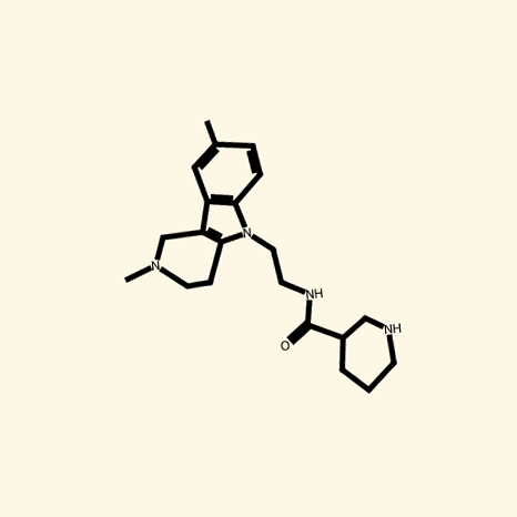 Cc1ccc2c(c1)c1c(n2CCNC(=O)C2CCCNC2)CCN(C)C1